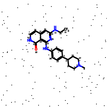 CN1CCC(c2ccc(Nc3nc(NCC(F)(F)F)cc4cc[nH]c(=O)c34)cc2)CC1